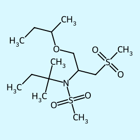 CCC(C)OCC(CS(C)(=O)=O)N(C(C)(C)CC)S(C)(=O)=O